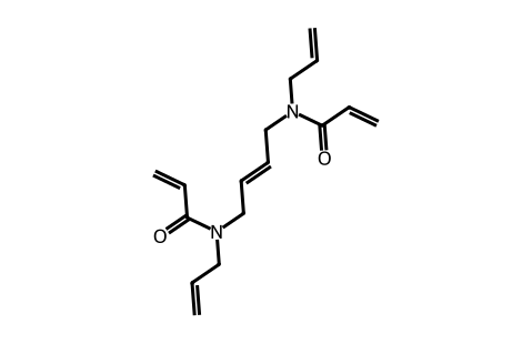 C=CCN(CC=CCN(CC=C)C(=O)C=C)C(=O)C=C